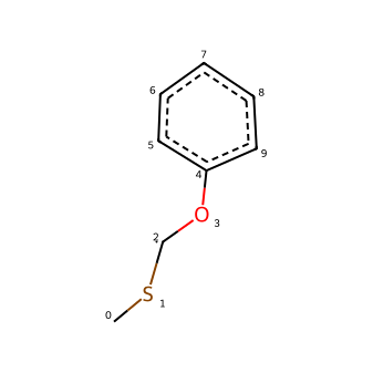 CS[CH]Oc1ccccc1